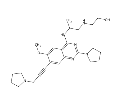 COc1cc2c(NC(C)CNCCO)nc(N3CCCC3)nc2cc1C#CCN1CCCC1